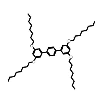 CCCCCCCCOc1cc(OCCCCCCCC)cc(-c2ccc(-c3cc(OCCCCCCCC)cc(OCCCCCCCC)c3)cc2)c1